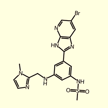 Cn1ccnc1CNc1cc(NS(C)(=O)=O)cc(-c2nc3cc(Br)cnc3[nH]2)c1